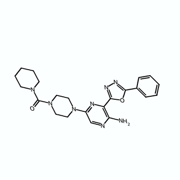 Nc1ncc(N2CCN(C(=O)N3CCCCC3)CC2)nc1-c1nnc(-c2ccccc2)o1